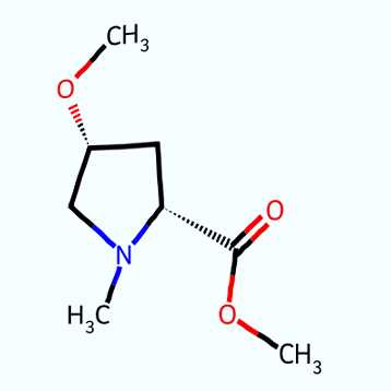 COC(=O)[C@H]1C[C@@H](OC)CN1C